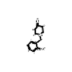 [C-]#[N+]c1ccccc1CN1CCC(=O)CC1